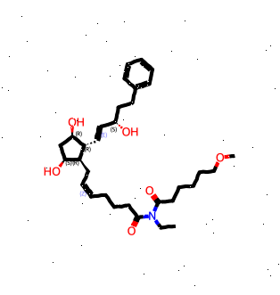 CCN(C(=O)CCC/C=C\C[C@@H]1[C@@H](/C=C/[C@@H](O)CCc2ccccc2)[C@H](O)C[C@@H]1O)C(=O)CCCCCOC